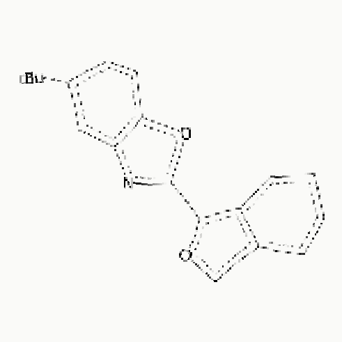 CC(C)(C)c1ccc2oc(-c3occ4ccccc34)nc2c1